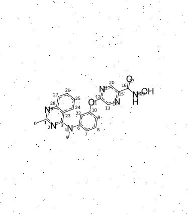 Cc1nc(N(C)c2cccc(Oc3cnc(C(=O)NO)cn3)c2)c2ccccc2n1